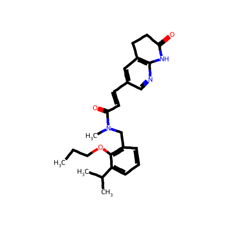 CCCOc1c(CN(C)C(=O)/C=C/c2cnc3c(c2)CCC(=O)N3)cccc1C(C)C